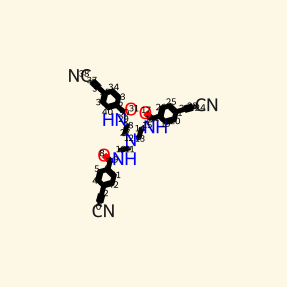 N#CC#Cc1ccc(C(=O)NCCN(CCNC(=O)c2ccc(C#CC#N)cc2)CCNC(=O)c2ccc(C#CC#N)cc2)cc1